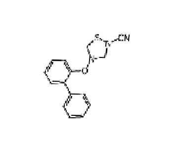 N#CN1CN(Oc2ccccc2-c2ccccc2)CS1